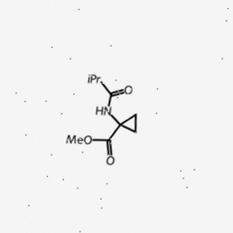 COC(=O)C1(NC(=O)C(C)C)CC1